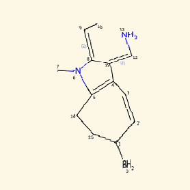 BC1C=Cc2c(n(C)c(=C/C)/c2=C\N)CC1